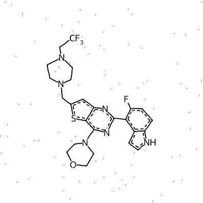 Fc1ccc2[nH]ccc2c1-c1nc(N2CCOCC2)c2sc(CN3CCN(CC(F)(F)F)CC3)cc2n1